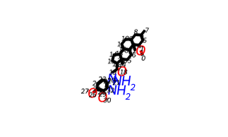 COCC12CCC(C)CC1CCC1C3CCC(C(=O)CN(N)c4ccc(OC)c(OC)c4N)C3(C)CCC12